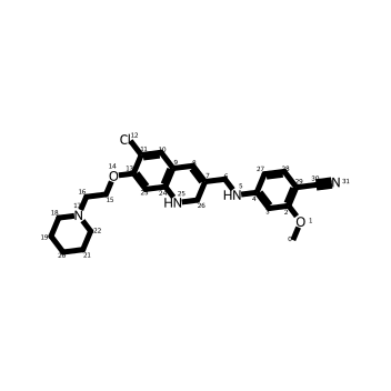 COc1cc(NCC2=Cc3cc(Cl)c(OCCN4CCCCC4)cc3NC2)ccc1C#N